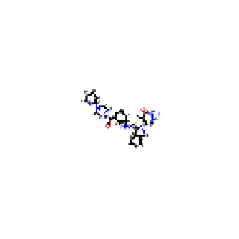 Cc1c(N2Cc3ccccc3[C@H]2CNc2cccc(C(=O)N3CCN(c4ccccn4)CC3)c2)cn[nH]c1=O